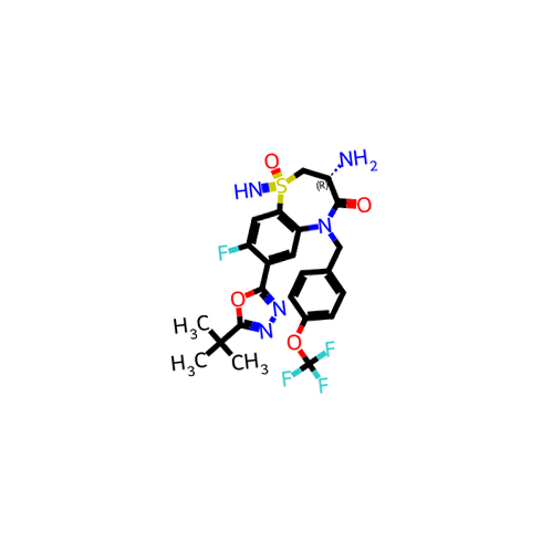 CC(C)(C)c1nnc(-c2cc3c(cc2F)S(=N)(=O)C[C@H](N)C(=O)N3Cc2ccc(OC(F)(F)F)cc2)o1